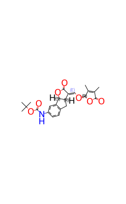 CC1=C(C)[C@H](O/C=C2/C(=O)O[C@@H]3c4cc(NC(=O)OC(C)(C)C)ccc4C[C@H]23)OC1=O